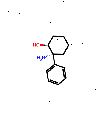 N[C@@]1(c2ccccc2)CCCC[C@@H]1O